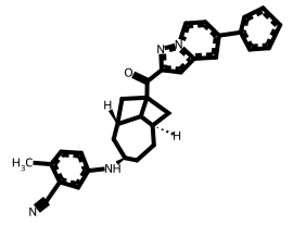 Cc1ccc(N[C@@H]2CC[C@@H]3CC4(C(=O)c5cc6cc(-c7ccccc7)ccn6n5)C[C@@H](C2)C34)cc1C#N